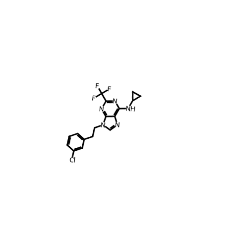 FC(F)(F)c1nc(NC2CC2)c2ncn(CCc3cccc(Cl)c3)c2n1